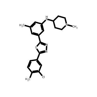 Cc1cc(NC2CCN(C)CC2)cc(-c2nnc(-c3ccc(C)c(Cl)c3)s2)c1